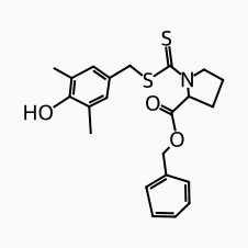 Cc1cc(CSC(=S)N2CCCC2C(=O)OCc2ccccc2)cc(C)c1O